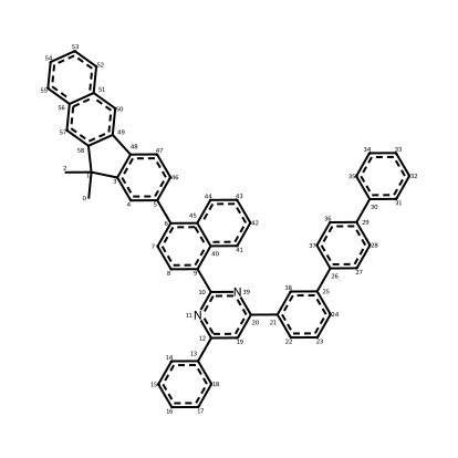 CC1(C)c2cc(-c3ccc(-c4nc(-c5ccccc5)cc(-c5cccc(-c6ccc(-c7ccccc7)cc6)c5)n4)c4ccccc34)ccc2-c2cc3ccccc3cc21